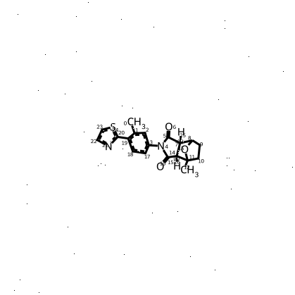 Cc1cc(N2C(=O)[C@@H]3C4CCC(C)(O4)[C@@H]3C2=O)ccc1-c1nccs1